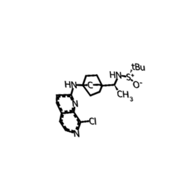 C[C@H](N[S@@+]([O-])C(C)(C)C)C12CCC(Nc3ccc4ccnc(Cl)c4n3)(CC1)CC2